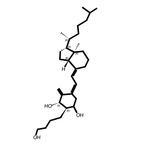 C=C1C(=CC=C2CCC[C@]3(C)[C@@H]([C@H](C)CCCC(C)C)CC[C@@H]23)CC(O)[C@@H](CCCCO)[C@@H]1O